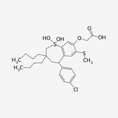 CCCCC1(CCCC)CC(c2ccc(Cl)cc2)c2cc(SC)c(OCC(=O)O)cc2S(O)(O)C1